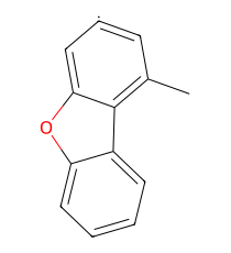 Cc1c[c]cc2oc3ccccc3c12